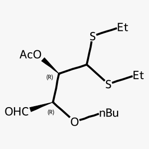 CCCCO[C@@H](C=O)[C@@H](OC(C)=O)C(SCC)SCC